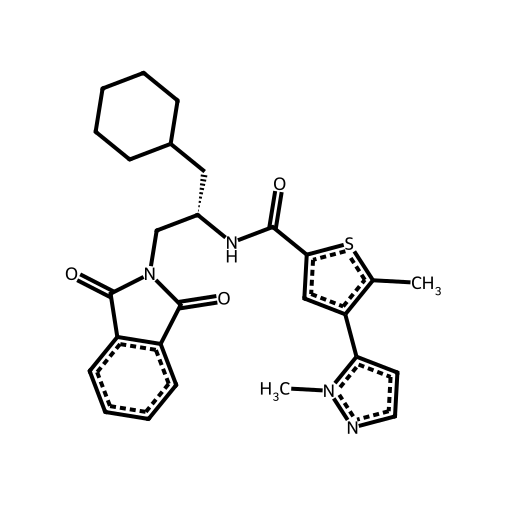 Cc1sc(C(=O)N[C@@H](CC2CCCCC2)CN2C(=O)c3ccccc3C2=O)cc1-c1ccnn1C